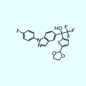 OC(c1ccc2c(cnn2-c2ccc(F)cc2)c1)(c1ccc(C2OCCO2)s1)C(F)(F)F